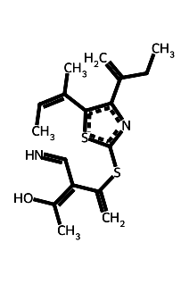 C=C(Sc1nc(C(=C)CC)c(/C(C)=C\C)s1)/C(C=N)=C(\C)O